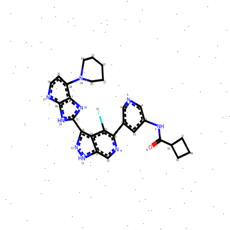 O=C(Nc1cncc(-c2ncc3[nH]nc(-c4nc5c(N6CCCCC6)ccnc5[nH]4)c3c2F)c1)C1CCC1